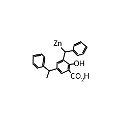 CC(c1ccccc1)c1cc(C(=O)O)c(O)c(C(C)c2ccccc2)c1.[Zn]